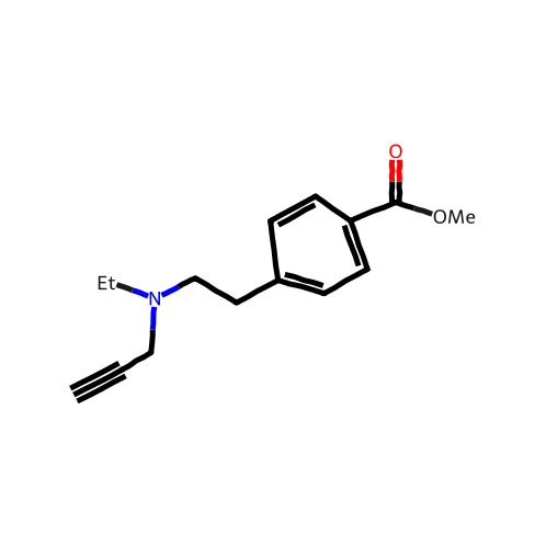 C#CCN(CC)CCc1ccc(C(=O)OC)cc1